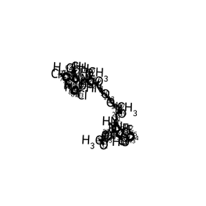 COc1cc(C(=O)NCCOCCOCCN(C)C(=O)CCNc2nc(N3CCN(C(C)=O)CC3)c3cc(Cl)c(-c4c(O)cccc4F)c(F)c3n2)ccc1NC(=O)[C@@H]1N[C@@H](CC(C)(C)C)[C@](C#N)(c2ccc(Cl)cc2F)[C@H]1c1cccc(Cl)c1F